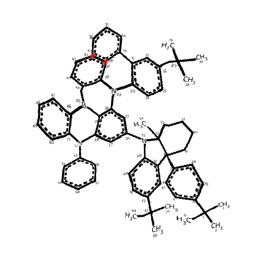 CC(C)(C)c1ccc(C23CCCCC2(C)N(c2cc4c5c(c2)N(c2ccc(C(C)(C)C)cc2-c2ccccc2)c2ccccc2B5c2ccccc2N4c2ccccc2)c2ccc(C(C)(C)C)cc23)cc1